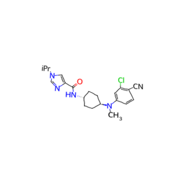 CC(C)n1cnc(C(=O)N[C@H]2CC[C@H](N(C)c3ccc(C#N)c(Cl)c3)CC2)c1